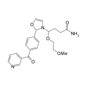 COCCOC(CCC(N)=O)N1C=COC1c1ccc(C(=O)c2cccnc2)cc1